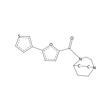 O=C(c1ccc(-c2ccsc2)o1)N1CCN2CCC1CC2